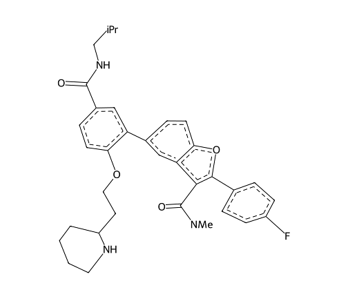 CNC(=O)c1c(-c2ccc(F)cc2)oc2ccc(-c3cc(C(=O)NCC(C)C)ccc3OCCC3CCCCN3)cc12